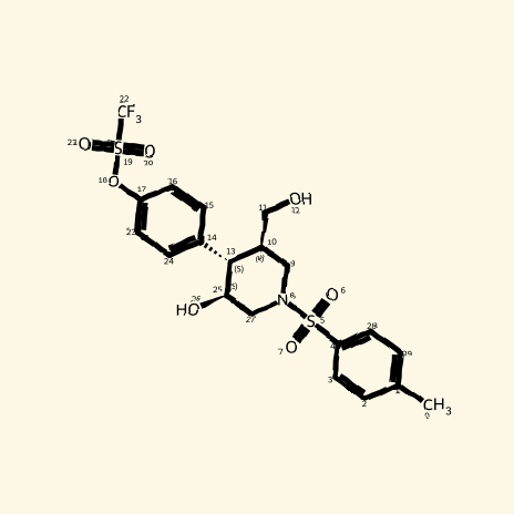 Cc1ccc(S(=O)(=O)N2C[C@H](CO)[C@@H](c3ccc(OS(=O)(=O)C(F)(F)F)cc3)[C@H](O)C2)cc1